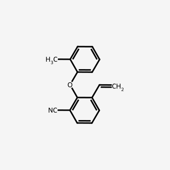 C=Cc1cccc(C#N)c1Oc1ccccc1C